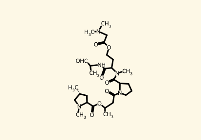 CC(C=O)NC(=O)C(CCOC(=O)CN(C)C)N(C)C(=O)C1CCCN1C(=O)CC(C)OC(=O)C1C[C@@H](C)CN1C